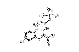 COc1ccc(Cl)cc1C[C@@H](CNC(=O)OC(C)(C)C)C(N)=O